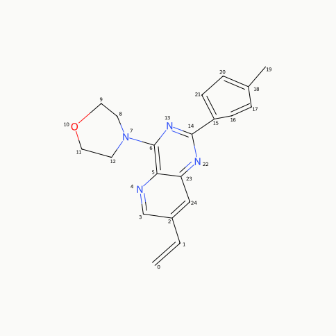 C=Cc1cnc2c(N3CCOCC3)nc(-c3ccc(C)cc3)nc2c1